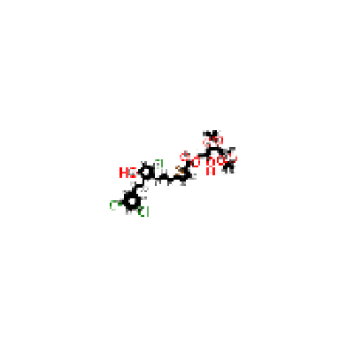 CC1(C)O[C@H]([C@@H](O)COC(=O)c2ccc(CCC[C@@H]3[C@@H](CCc4cc(Cl)cc(Cl)c4)[C@H](O)C[C@H]3Cl)s2)[C@@H]([C@H]2COC(C)(C)O2)O1